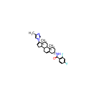 Cc1cn(C2=CCC3C4CC=C5C[C@@H](NC(=O)c6ccc(F)cc6F)CC[C@]5(C)C4CC[C@]23C)cn1